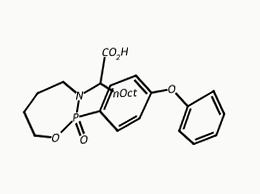 CCCCCCCCC(C(=O)O)N1CCCCOP1(=O)c1ccc(Oc2ccccc2)cc1